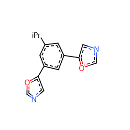 CC(C)c1cc(-c2cnco2)cc(-c2cnco2)c1